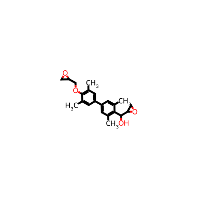 Cc1cc(-c2cc(C)c(C(O)C3CO3)c(C)c2)cc(C)c1OCC1CO1